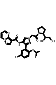 O=C(Nc1cn(CC(=O)N2CCCC2C(O)CO)nc1-c1cc(Cl)ccc1OC(F)F)c1cnn2cccnc12